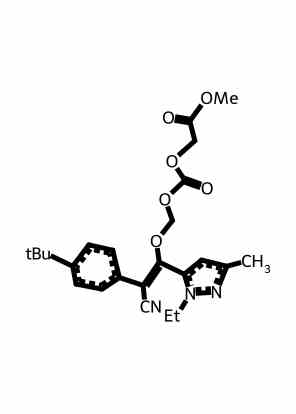 CCn1nc(C)cc1/C(OCOC(=O)OCC(=O)OC)=C(\C#N)c1ccc(C(C)(C)C)cc1